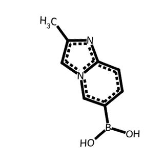 Cc1cn2cc(B(O)O)ccc2n1